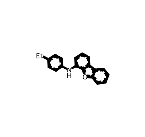 CCc1ccc(Nc2cccc3c2oc2ccccc23)cc1